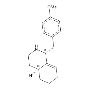 COc1ccc(C[C@H]2NCC[C@@H]3CCCC=C32)cc1